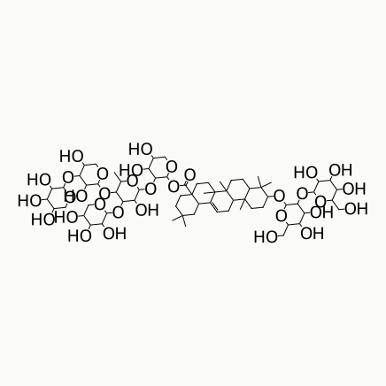 CC1OC(OC2C(OC(=O)C34CCC(C)(C)CC3C3=CCC5C6(C)CCC(OC7OC(CO)C(O)C(O)C7OC7OC(CO)C(O)C(O)C7O)C(C)(C)C6CCC5(C)C3(C)CC4)OCC(O)C2O)C(O)C(OC2OCC(O)C(O)C2O)C1OC1OCC(O)C(OC2OCC(O)C(O)C2O)C1O